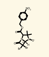 CC1(C)C(C(=O)OCc2ccc([N+](=O)[O-])cc2)N2C(=O)C(Br)(Br)[C@H]2[S+]1[O-]